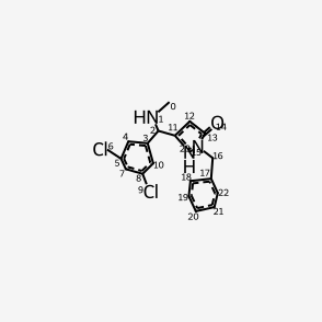 CNC(c1cc(Cl)cc(Cl)c1)c1cc(=O)n(Cc2ccccc2)[nH]1